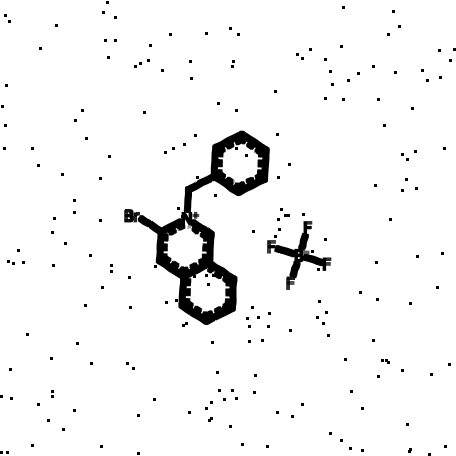 Brc1cc2ccccc2c[n+]1Cc1ccccc1.F[B-](F)(F)F